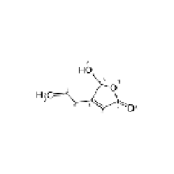 C=CCC1=CC(=O)OC1O